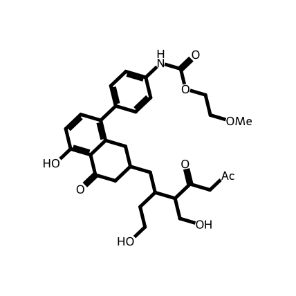 COCCOC(=O)Nc1ccc(-c2ccc(O)c3c2CC(CC(CCO)C(CO)C(=O)CC(C)=O)CC3=O)cc1